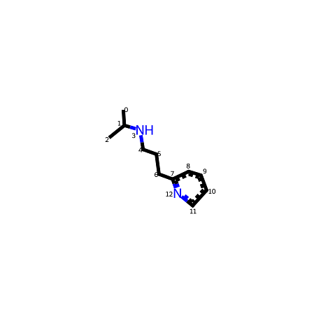 CC(C)NCCCc1ccccn1